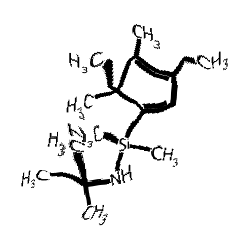 CC1=C(C)C(C)(C)C([Si](C)(C)NC(C)(C)C)=C1